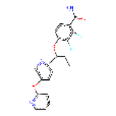 CCC(Oc1ccc(C(N)=O)c(F)c1F)c1ccc(Oc2ccccn2)cn1